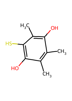 Cc1c(C)c(O)c(S)c(C)c1O